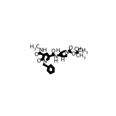 CNC(=O)c1cc(C(=O)NC2[C@H]3CN(C(=O)OC(C)(C)C)C[C@@H]23)cn(Cc2ccccc2)c1=O